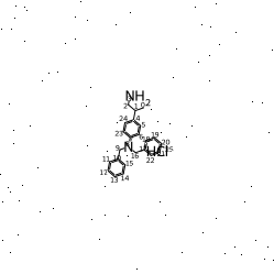 CC(CN)c1ccc(N(Cc2ccccc2)Cc2ccccc2)cc1.Cl